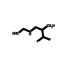 O=CCNCC(C(=O)O)C(F)F